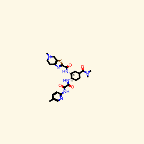 Cc1ccc(NC(=O)C(=O)N[C@H]2CCC(C(=O)N(C)C)C[C@H]2NC(=O)c2nc3c(s2)CN(C)CC3)nc1